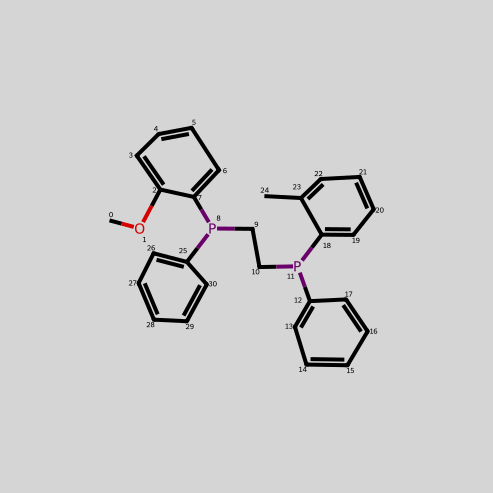 COc1ccccc1P(CCP(c1ccccc1)c1ccccc1C)c1ccccc1